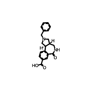 O=C(O)c1ccc2c(c1)C(=O)NC[C@H]1CN(Cc3ccccc3)C[C@H]21